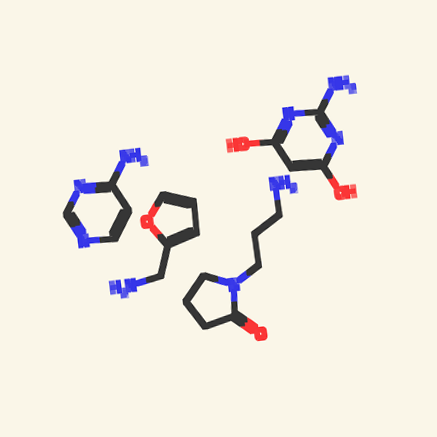 NCCCN1CCCC1=O.NCc1ccco1.Nc1ccncn1.Nc1nc(O)cc(O)n1